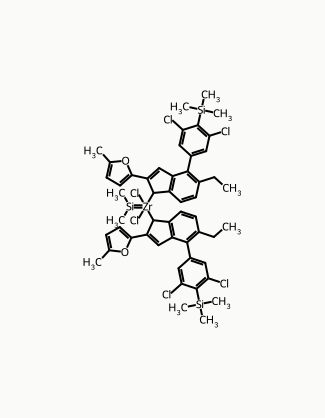 CCc1ccc2c(c1-c1cc(Cl)c([Si](C)(C)C)c(Cl)c1)C=C(c1ccc(C)o1)[CH]2[Zr]([Cl])([Cl])([CH]1C(c2ccc(C)o2)=Cc2c1ccc(CC)c2-c1cc(Cl)c([Si](C)(C)C)c(Cl)c1)=[Si](C)C